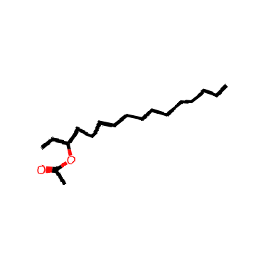 CCCCCCCCCCCCCC(CC)OC(C)=O